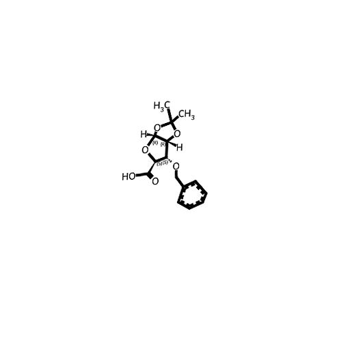 CC1(C)O[C@H]2O[C@H](C(=O)O)[C@@H](OCc3ccccc3)[C@H]2O1